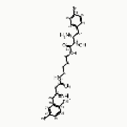 NC(CC(=O)NCCCCNC(=O)[C@@H](O)[C@H](N)Cc1ccc(Br)cc1)Cc1cc(F)ccc1F